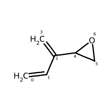 C=CC(=C)C1CO1